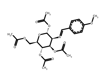 COc1ccc(C=N[C@@H]2[C@@H](OC(C)=O)O[C@H](COC(C)=O)[C@@H](OC(C)=O)[C@@H]2OC(C)=O)cc1